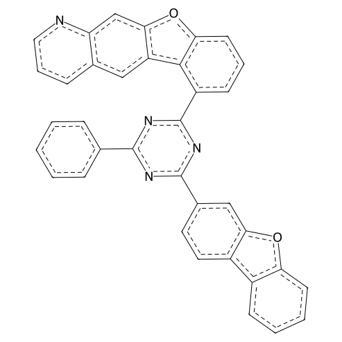 c1ccc(-c2nc(-c3ccc4c(c3)oc3ccccc34)nc(-c3cccc4oc5cc6ncccc6cc5c34)n2)cc1